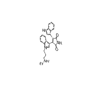 CCNCCCn1cc(C2=C(c3c[nH]c4ccccc34)C(=O)NC2=O)c2ccccc21